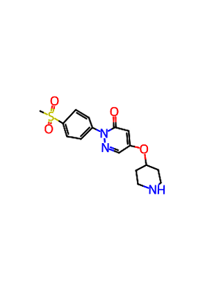 CS(=O)(=O)c1ccc(-n2ncc(OC3CCNCC3)cc2=O)cc1